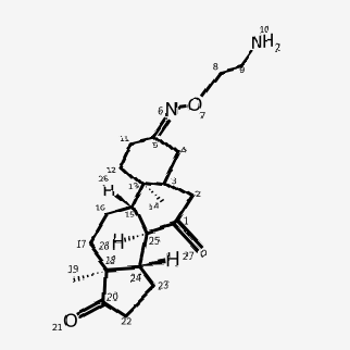 C=C1CC2CC(=NOCCN)CC[C@]2(C)[C@H]2CC[C@]3(C)C(=O)CC[C@H]3[C@H]12